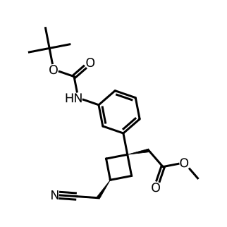 COC(=O)C[C@]1(c2cccc(NC(=O)OC(C)(C)C)c2)C[C@H](CC#N)C1